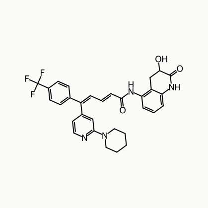 O=C(C=CC=C(c1ccc(C(F)(F)F)cc1)c1ccnc(N2CCCCC2)c1)Nc1cccc2c1CC(O)C(=O)N2